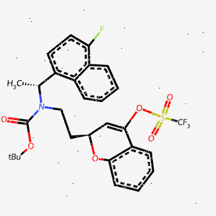 C[C@H](c1ccc(F)c2ccccc12)N(CC[C@H]1C=C(OS(=O)(=O)C(F)(F)F)c2ccccc2O1)C(=O)OC(C)(C)C